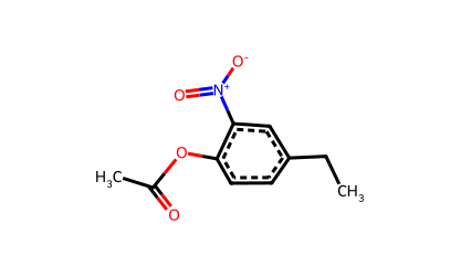 CCc1ccc(OC(C)=O)c([N+](=O)[O-])c1